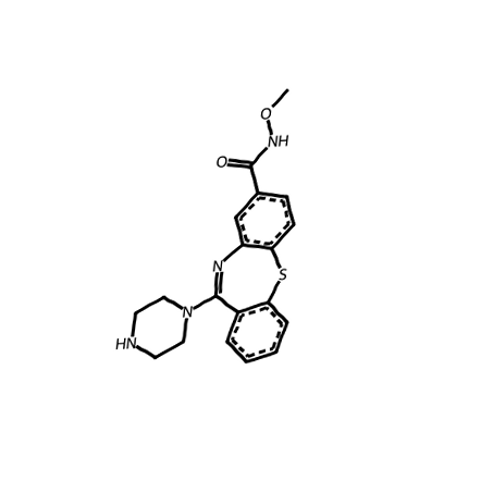 CONC(=O)c1ccc2c(c1)N=C(N1CCNCC1)c1ccccc1S2